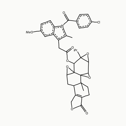 COc1ccc2c(c1)c(CC(=O)OC1C3(C(C)C)OC3C3OC34C3(C)CCC5=C(COC5=O)C3CC3OC314)c(C)n2C(=O)c1ccc(Cl)cc1